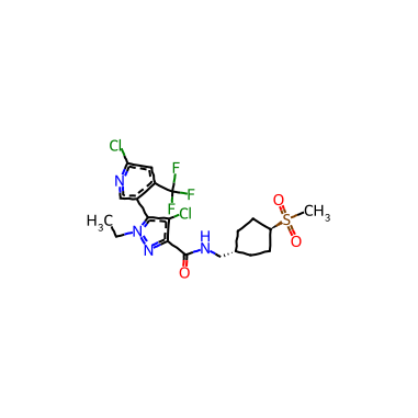 CCn1nc(C(=O)NC[C@H]2CC[C@H](S(C)(=O)=O)CC2)c(Cl)c1-c1cnc(Cl)cc1C(F)(F)F